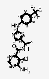 CC(NC(=O)c1ncnc(N)c1Cl)c1cnc(Nc2ccc(C(F)(F)F)cc2)s1